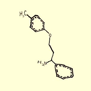 Cc1ccc(OCCC(N)c2ccccc2)cc1